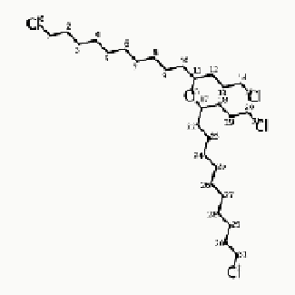 ClCCCCCCCCCCC(CCCCl)OC(CCCCl)CCCCCCCCCCCl